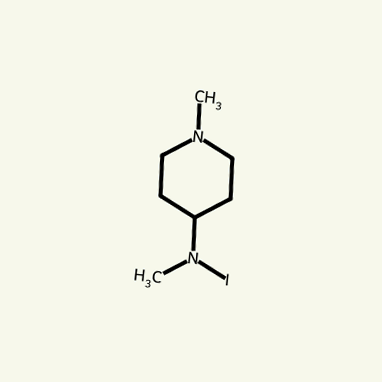 CN1CCC(N(C)I)CC1